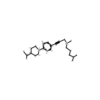 CC(C)CCCN(C)CC#Cc1cnc(N2CCC(C(C)C)CC2)nc1